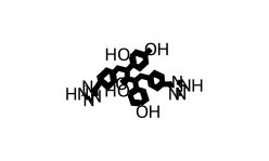 O=C(C(Cc1ccc(-c2nn[nH]n2)cc1)c1ccc(O)cc1O)C(Cc1ccc(-c2nn[nH]n2)cc1)c1ccc(O)cc1O